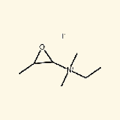 CC[N+](C)(C)C1OC1C.[I-]